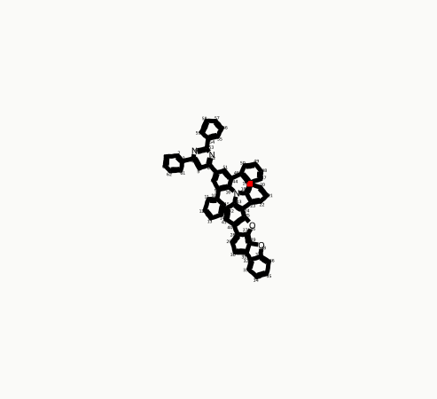 c1ccc(-c2cc(-c3cc(-c4ccccc4)c(-n4c5ccccc5c5c6oc7c(ccc8c9ccccc9oc87)c6ccc54)c(-c4ccccc4)c3)nc(-c3ccccc3)n2)cc1